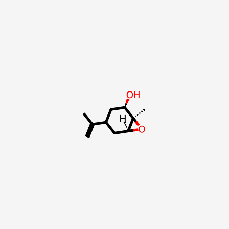 C=C(C)C1C[C@@H](O)[C@@]2(C)O[C@H]2C1